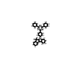 CC1(C)c2ccccc2-c2c1n(-c1ccc(-c3nc(-c4ccccc4)nc(-c4ccccc4)n3)cc1)c1ccccc21